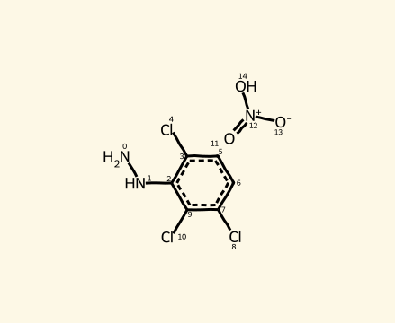 NNc1c(Cl)ccc(Cl)c1Cl.O=[N+]([O-])O